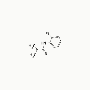 CCc1ccccc1NC(=S)N(C)C